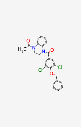 CC(=O)N1CCN(C(=O)c2cc(Cl)c(OCc3ccccc3)c(Cl)c2)c2ccccc21